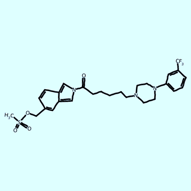 CS(=O)(=O)OCc1ccc2cn(C(=O)CCCCCN3CCN(c4cccc(C(F)(F)F)c4)CC3)cc2c1